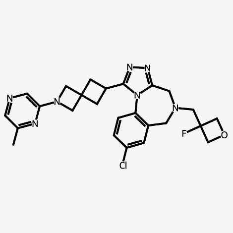 Cc1cncc(N2CC3(CC(c4nnc5n4-c4ccc(Cl)cc4CN(CC4(F)COC4)C5)C3)C2)n1